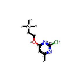 Cc1cc(OCC[Si](C)(C)C)nc(Cl)n1